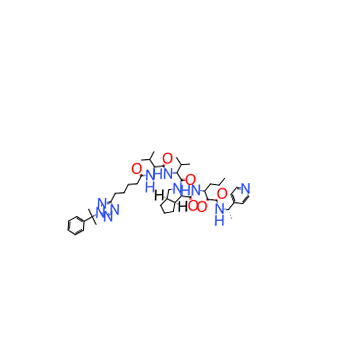 CCCC(NC(=O)C1[C@H]2CCC[C@H]2CN1C(=O)[C@@H](NC(=O)[C@@H](NC(=O)CCCCc1nnn(C(C)(C)c2ccccc2)n1)C(C)C)C(C)C)C(=O)C(=O)N[C@@H](C)c1ccncc1